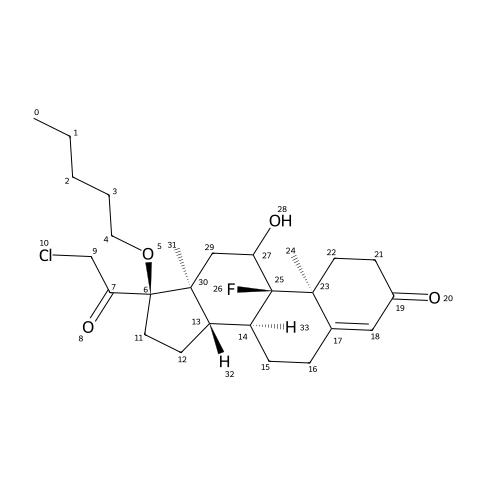 CCCCCO[C@]1(C(=O)CCl)CC[C@H]2[C@@H]3CCC4=CC(=O)CC[C@]4(C)[C@@]3(F)C(O)C[C@@]21C